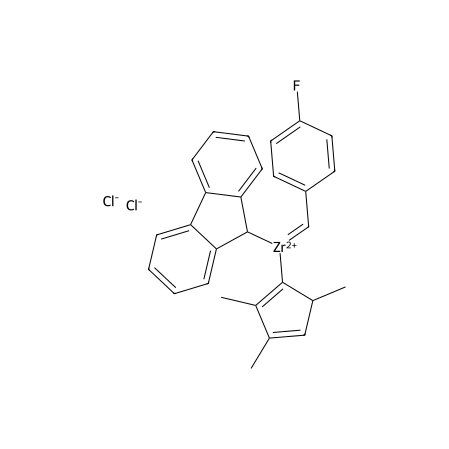 CC1=CC(C)[C](/[Zr+2](=[CH]/c2ccc(F)cc2)[CH]2c3ccccc3-c3ccccc32)=C1C.[Cl-].[Cl-]